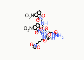 CC(C)C(NC(=O)CCCCCN1C(=O)C=CC1=O)C(=O)N[C@@H](CCCNC(N)=O)C(=O)N(CCCNCCN1C(=O)c2cccc3cc([N+](=O)[O-])cc(c23)C1=O)CCN1C(=O)c2cccc3cc([N+](=O)[O-])cc(c23)C1=O